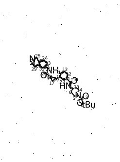 CC(C)(C)OC(=O)N1CCC(NC(=O)c2cccc([C@@H]3C[C@H]3C(=O)Nc3ccc4cnccc4c3)c2)CC1